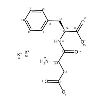 N[C@@H](CC(=O)[O-])C(=O)N[C@@H](Cc1ccccc1)C(=O)[O-].[K+].[K+]